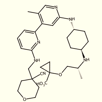 Cc1cnc(N[C@H]2CC[C@H](N[C@H](C)COC3(C(=O)O)CC3)CC2)cc1-c1cccc(NCC2(C#N)CCOCC2)n1